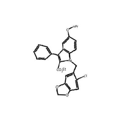 CCCOc1ccc2c(c1)c(-c1ccccc1)c(C(=O)OCC)n2Cc1cc2c(cc1Cl)OCO2